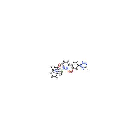 Cc1nnn(-c2ccc(-c3ccc(O[C@@H]4C[C@@]5(C)CCC[C@@H]([C@H]4F)N5C)nn3)c(O)c2)n1